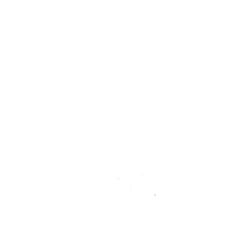 c1ccc2c(c1)-c1ccc(-c3ccc4c(c3)oc3cc(-c5cccc6ccccc56)ccc34)cc1C21C2CC3CC(C2)CC1C3